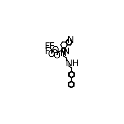 O=C(OC(=O)C(F)(F)F)c1c2c(nn1CCCNCCc1ccc(-c3ccccc3)cc1)-c1ccncc1CC2